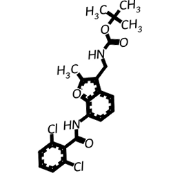 Cc1oc2c(NC(=O)c3c(Cl)cccc3Cl)cccc2c1CNC(=O)OC(C)(C)C